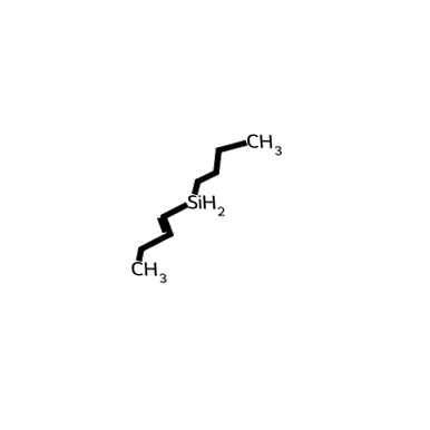 CCC=C[SiH2]CCCC